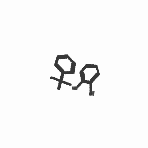 CC(C)(C)c1ccccc1.Oc1ccccc1O